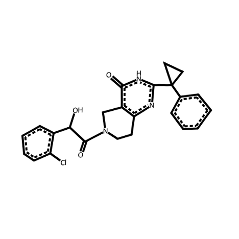 O=C(C(O)c1ccccc1Cl)N1CCc2nc(C3(c4ccccc4)CC3)[nH]c(=O)c2C1